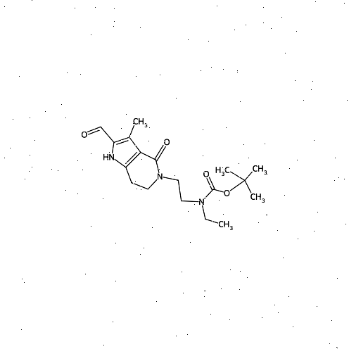 CCN(CCN1CCc2[nH]c(C=O)c(C)c2C1=O)C(=O)OC(C)(C)C